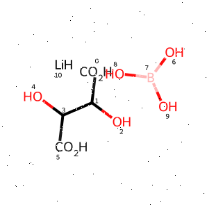 O=C(O)C(O)C(O)C(=O)O.OB(O)O.[LiH]